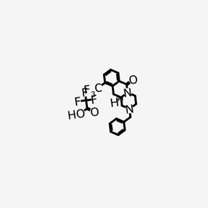 O=C(O)C(F)(F)F.O=C1c2cccc(C(F)(F)F)c2C[C@@H]2CN(Cc3ccccc3)CCN12